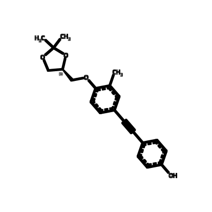 Cc1cc(C#Cc2ccc(O)cc2)ccc1OC[C@H]1COC(C)(C)O1